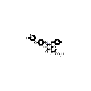 C[C@@H](C(=O)O)[C@H](C)n1c(=O)[nH]/c(=N\c2ccc(Oc3ccnc(F)c3)cc2)n(Cc2ccc(Cl)cc2)c1=O